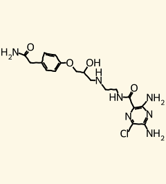 NC(=O)Cc1ccc(OCC(O)CNCCNC(=O)c2nc(Cl)c(N)nc2N)cc1